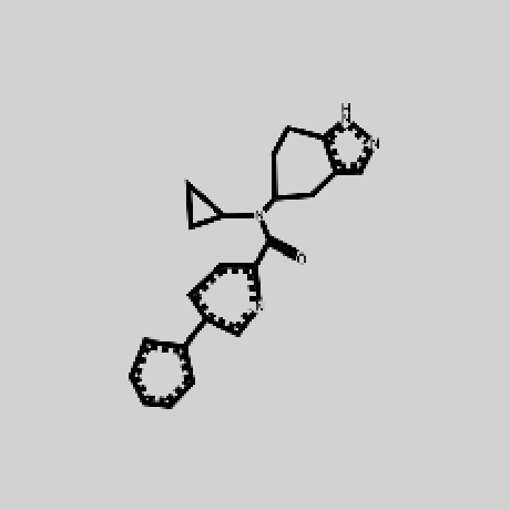 O=C(c1ccc(-c2ccccc2)cn1)N(C1CC1)C1CCc2[nH]ncc2C1